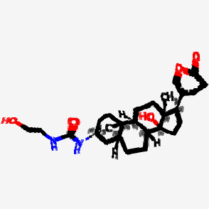 C[C@]12CC[C@@H](NC(=O)NCCO)C[C@H]1CC[C@@H]1[C@@H]2CC[C@]2(C)[C@@H](c3ccc(=O)oc3)CC[C@]12O